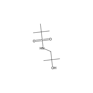 CC(C)(O)CNS(=O)(=O)C(C)(C)C